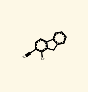 C#Cc1ccc2c(c1O)Cc1ccccc1-2